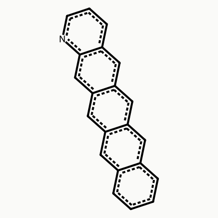 c1ccc2cc3cc4cc5ncccc5cc4cc3cc2c1